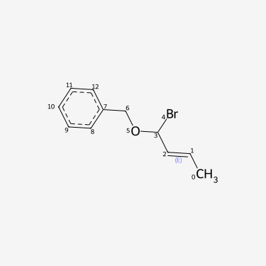 C/C=C/C(Br)OCc1ccccc1